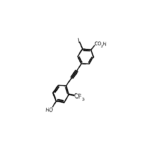 O=C(O)c1ccc(C#Cc2ccc(O)cc2C(F)(F)F)cc1I